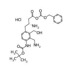 CC(C)(C)OC(=O)Nc1ccc(C[C@@H](N)CC(=O)OC(=O)OCc2ccccc2)c(CO)c1CN.Cl